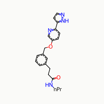 CCCNC(=O)CCc1cccc(COc2ccc(-c3ccn[nH]3)nc2)c1